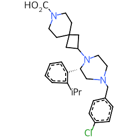 CC(C)c1ccccc1[C@H]1CN(Cc2ccc(Cl)cc2)CCN1C1CC2(CCN(C(=O)O)CC2)C1